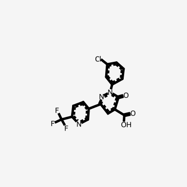 O=C(O)c1cc(-c2ccc(C(F)(F)F)nc2)nn(-c2cccc(Cl)c2)c1=O